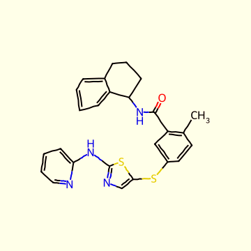 Cc1ccc(Sc2cnc(Nc3ccccn3)s2)cc1C(=O)NC1CCCc2ccccc21